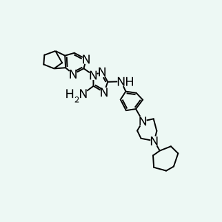 Nc1nc(Nc2ccc(N3CCN(C4CCCCCC4)CC3)cc2)nn1-c1ncc2c(n1)C1CCC2C1